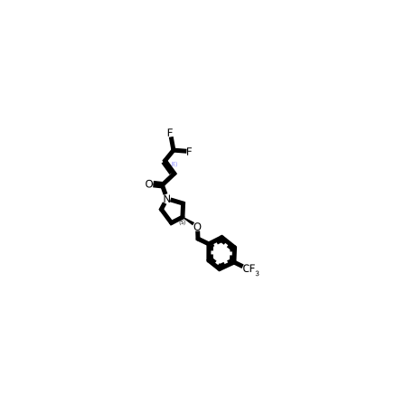 O=C(/C=C/C(F)F)N1CC[C@H](OCc2ccc(C(F)(F)F)cc2)C1